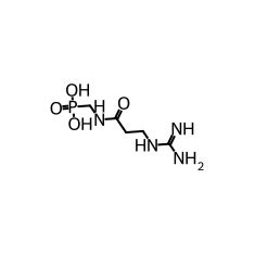 N=C(N)NCCC(=O)NCP(=O)(O)O